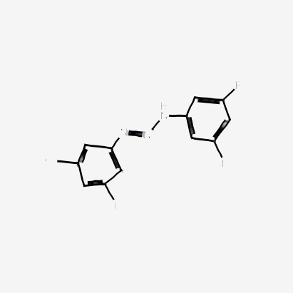 Fc1cc(F)cc(/N=N/Nc2cc(F)cc(F)c2)c1